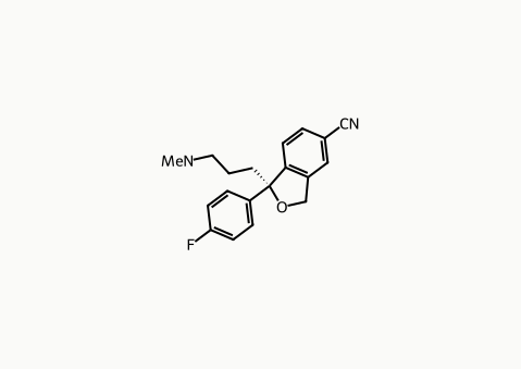 CNCCC[C@@]1(c2ccc(F)cc2)OCc2cc(C#N)ccc21